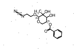 CC1(O)C(O)[C@H](OC(=O)c2ccccc2)CO[C@H]1OCCN=[N+]=[N-]